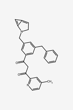 Cc1ccnc(C(=O)CC(=O)c2cc(Cc3ccccc3)cc(CN3CC=C4C=C43)c2)c1